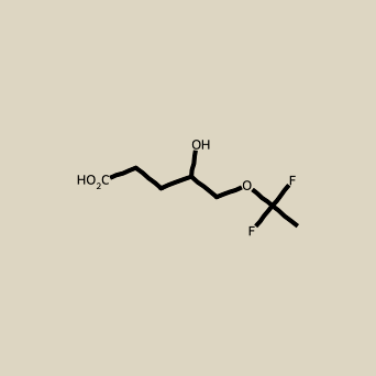 CC(F)(F)OCC(O)CCC(=O)O